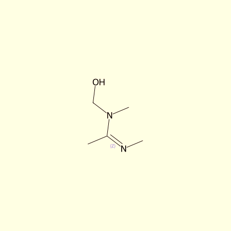 C/N=C(/C)N(C)CO